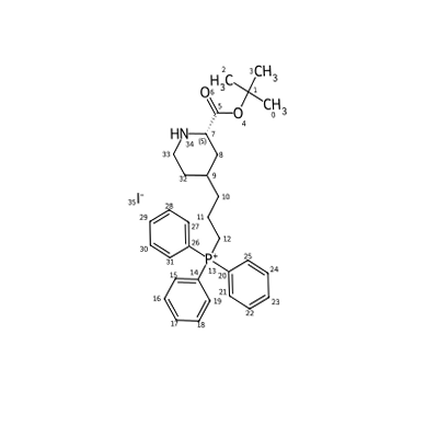 CC(C)(C)OC(=O)[C@@H]1CC(CCC[P+](c2ccccc2)(c2ccccc2)c2ccccc2)CCN1.[I-]